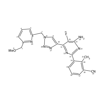 COCc1cccc(Cn2cc(-c3nc(-c4cccc(C#N)c4C)nc(N)c3F)nn2)n1